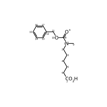 CN(CCCCCC(=O)O)C(=O)OCc1ccccc1